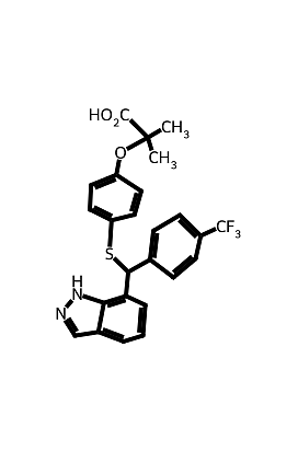 CC(C)(Oc1ccc(SC(c2ccc(C(F)(F)F)cc2)c2cccc3cn[nH]c23)cc1)C(=O)O